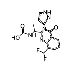 CC(NC(=O)O)c1nc2c(C(F)F)cccc2c(=O)n1-c1cc[nH]n1